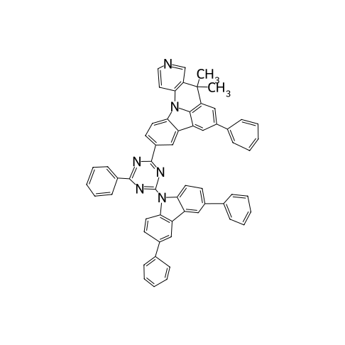 CC1(C)c2cnccc2-n2c3ccc(-c4nc(-c5ccccc5)nc(-n5c6ccc(-c7ccccc7)cc6c6cc(-c7ccccc7)ccc65)n4)cc3c3cc(-c4ccccc4)cc1c32